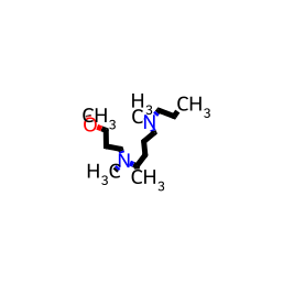 CCCN(C)CCCC(C)N(C)CCCOC